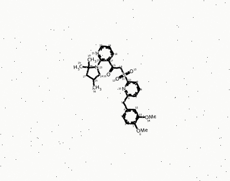 COc1ccc(Cc2cccc(S(=O)(=O)CC(=O)c3cccnc3N3CC(C)CC3(C)C)n2)cc1OC